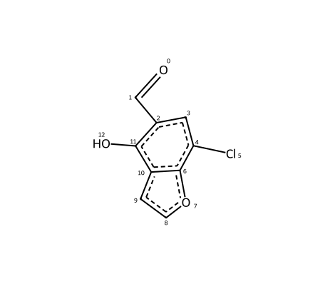 O=Cc1cc(Cl)c2occc2c1O